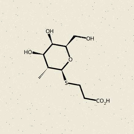 C[C@@H]1[C@@H](O)[C@@H](O)[C@@H](CO)O[C@H]1SCCC(=O)O